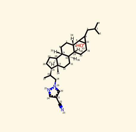 CC(C)CC1C2[C@H]3CC[C@@H]4[C@H](CC[C@]5(C)[C@@H](C(C)Cn6cc(C#N)cn6)CC[C@@H]45)[C@H]3CC[C@]12O